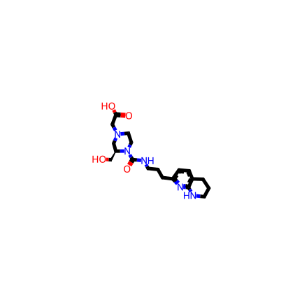 O=C(O)CN1CCN(C(=O)NCCCc2ccc3c(n2)NCCC3)[C@@H](CO)C1